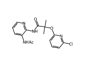 CC(=O)Nc1cccnc1NC(=O)C(C)(C)Oc1cccc(Cl)n1